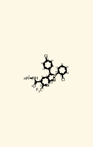 CCCNC(=O)c1cc2c(-c3ccc(Cl)cc3)n(-c3ccccc3Cl)nc2nc1C(F)(F)F